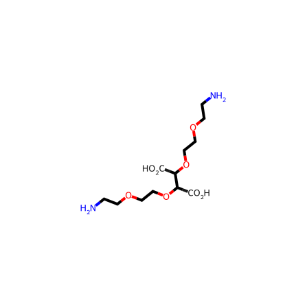 NCCOCCOC(C(=O)O)C(OCCOCCN)C(=O)O